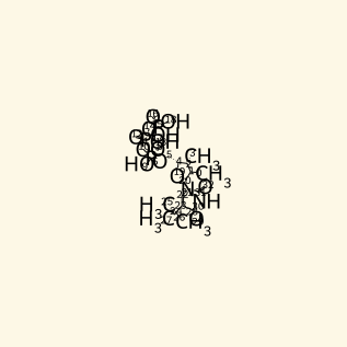 CC1[C@@H](C)[C@@H](COP(=O)(O)OP(=O)(O)OP(=O)(O)O)O[C@H]1n1cc(C(C)(C)C)c(=O)[nH]c1=O